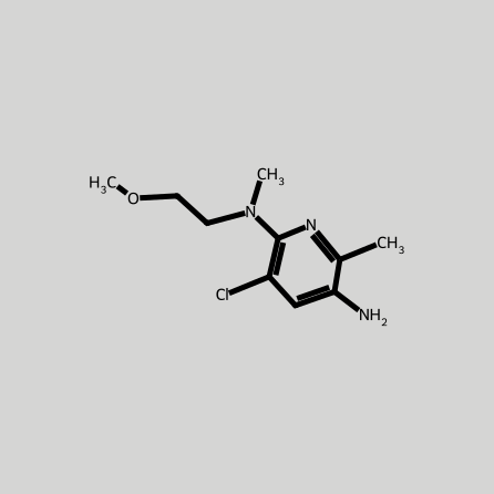 COCCN(C)c1nc(C)c(N)cc1Cl